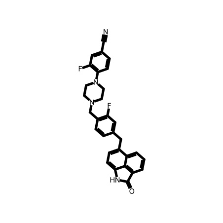 N#Cc1ccc(N2CCN(Cc3ccc(Cc4ccc5c6c(cccc46)C(=O)N5)cc3F)CC2)c(F)c1